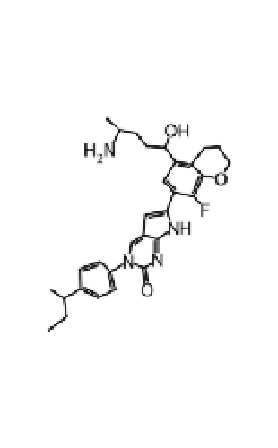 CCC(C)c1ccc(-n2cc3cc(-c4cc(C(O)CC[C@H](C)N)c5c(c4F)OCCC5)[nH]c3nc2=O)cc1